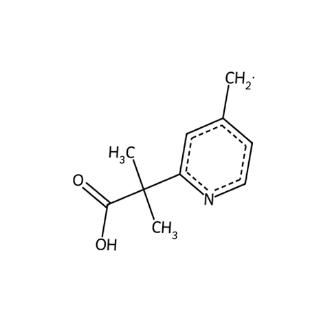 [CH2]c1ccnc(C(C)(C)C(=O)O)c1